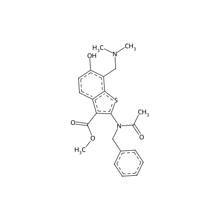 COC(=O)c1c(N(Cc2ccccc2)C(C)=O)sc2c(CN(C)C)c(O)ccc12